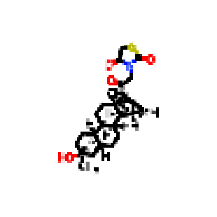 C[C@@]1(O)CC[C@H]2[C@H](CC[C@@H]3[C@@H]2CC[C@@]2(C)[C@H]3[C@@H]3C4[C@@H]3[C@]42C(=O)CN2C(=O)CSC2=O)C1